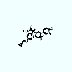 Cn1cc([C@H]2CN(C(C)(C(N)=O)c3ccc(OCC4CC4)cn3)CCC2(F)F)ccc1=O